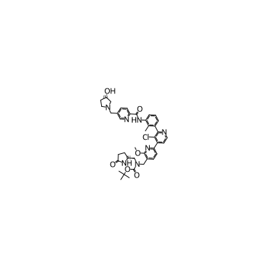 COc1nc(-c2ccnc(-c3cccc(NC(=O)c4ccc(CN5CC[C@H](O)C5)cn4)c3C)c2Cl)ccc1CN(C[C@@H]1CCC(=O)N1)C(=O)OC(C)(C)C